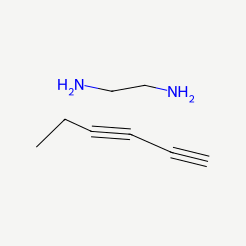 C#CC#CCC.NCCN